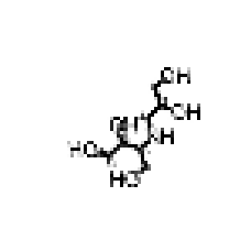 OCC(O)CNC(CO)C(O)CO